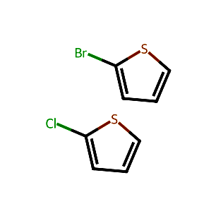 Brc1cccs1.Clc1cccs1